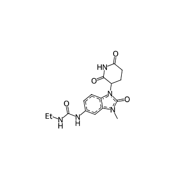 CCNC(=O)Nc1ccc2c(c1)n(C)c(=O)n2C1CCC(=O)NC1=O